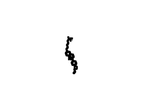 C=CCOc1ccc(-c2ccc3cc(CCCCCC(C)F)ccc3n2)cc1